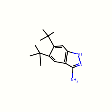 CC(C)(C)c1cc2[nH]nc(N)c2cc1C(C)(C)C